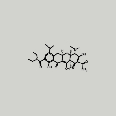 CCN(CC)C(=O)c1cc(N(C)C)c2c(c1O)C(=O)C1=C(O)[C@]3(O)C(=O)C(C(N)=O)=C(O)[C@@H](N(C)C)[C@@H]3C[C@@H]1C2